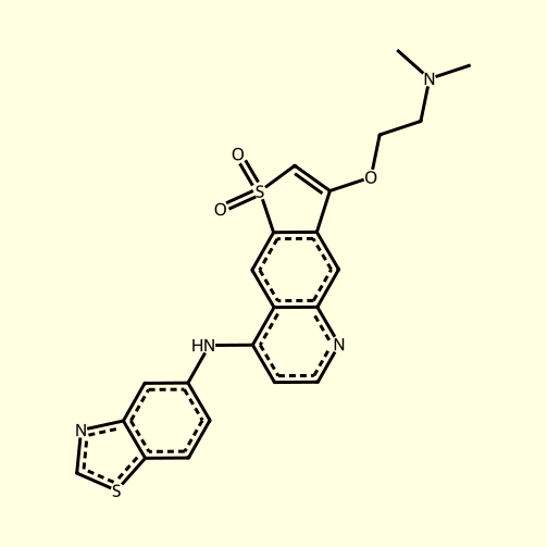 CN(C)CCOC1=CS(=O)(=O)c2cc3c(Nc4ccc5scnc5c4)ccnc3cc21